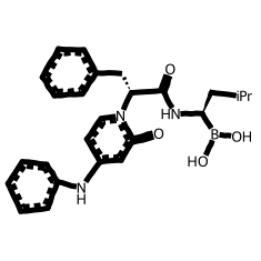 CC(C)C[C@H](NC(=O)[C@@H](Cc1ccccc1)n1ccc(Nc2ccccc2)cc1=O)B(O)O